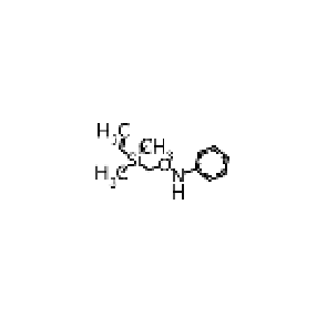 C=C[Si](C)(C)CONc1ccccc1